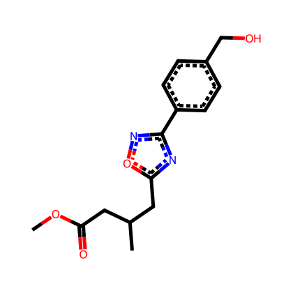 COC(=O)CC(C)Cc1nc(-c2ccc(CO)cc2)no1